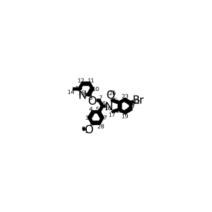 COc1ccc(C(COc2cccc(C)n2)N2Cc3ccc(Br)cc3C2=O)cc1